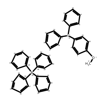 COc1ccc([S+](c2ccccc2)c2ccccc2)cc1.c1ccc([B-](c2ccccc2)(c2ccccc2)c2ccccc2)cc1